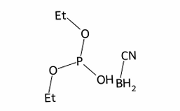 BC#N.CCOP(O)OCC